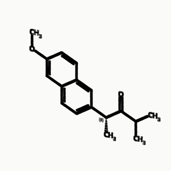 COc1ccc2cc([C@@H](C)C(=O)C(C)C)ccc2c1